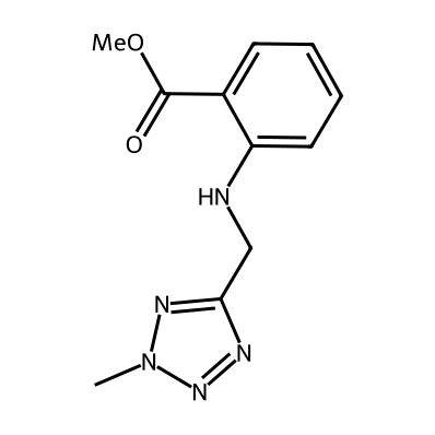 COC(=O)c1ccccc1NCc1nnn(C)n1